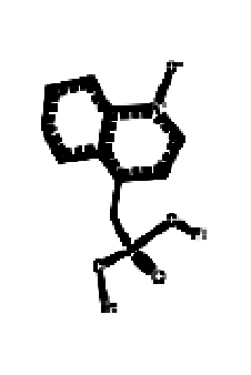 CCOP(=O)(Cc1cc[n+]([O-])c2ccccc12)OCC